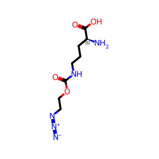 [N-]=[N+]=NCCOC(=O)NCCC[C@H](N)C(=O)O